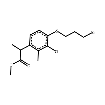 COC(=O)C(C)c1ccc(SCCCBr)c(Cl)c1C